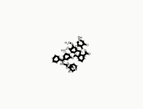 COc1ccc([C@H](Cc2c(Cl)c[n+](O)cc2Cl)c2c(COc3cccc([C@@H](NC(=O)O[C@H]4CN5CCC4CC5)c4ccccc4)c3)cccc2C(=O)[O-])cc1OC